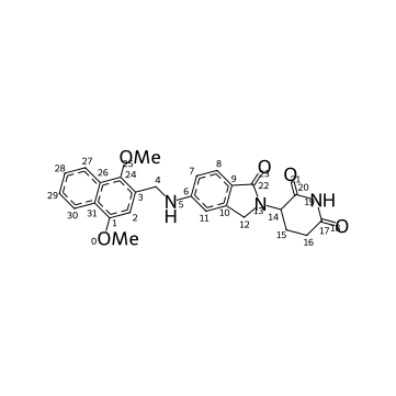 COc1cc(CNc2ccc3c(c2)CN(C2CCC(=O)NC2=O)C3=O)c(OC)c2ccccc12